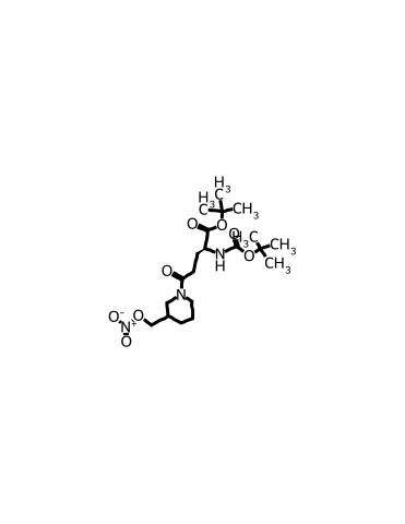 CC(C)(C)OC(=O)N[C@@H](CCC(=O)N1CCCC(CO[N+](=O)[O-])C1)C(=O)OC(C)(C)C